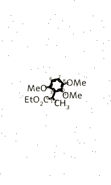 CCOC(=O)C(C)c1c(OC)ccc(OC)c1OC